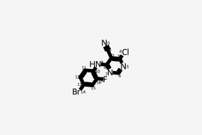 N#Cc1c(Cl)ncnc1Nc1ccc(Br)cc1F